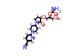 COCC(COC1CCN(C2CCN(c3ccc(C#N)cn3)CC2)C1=O)OC(N)=O